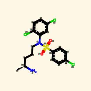 C[C@@H](N)CCCN(c1cc(Cl)ccc1Cl)S(=O)(=O)c1ccc(Cl)cc1